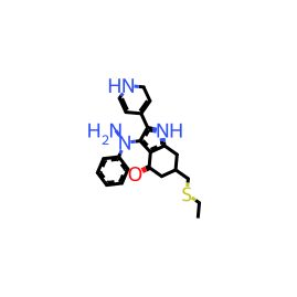 CCSCC1CC(=O)c2c([nH]c(C3=CCNC=C3)c2N(N)c2ccccc2)C1